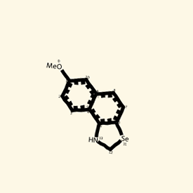 COc1ccc2c3c(ccc2c1)[Se]CN3